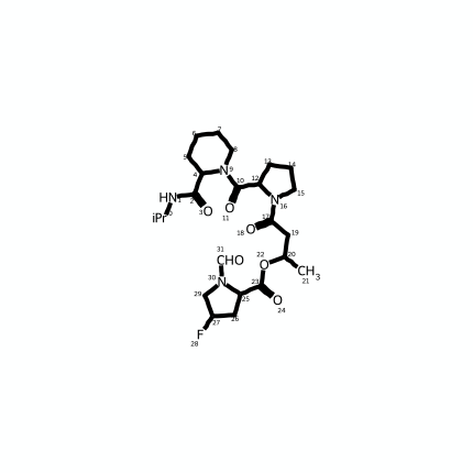 CC(C)NC(=O)C1CCCCN1C(=O)C1CCCN1C(=O)CC(C)OC(=O)C1CC(F)CN1C=O